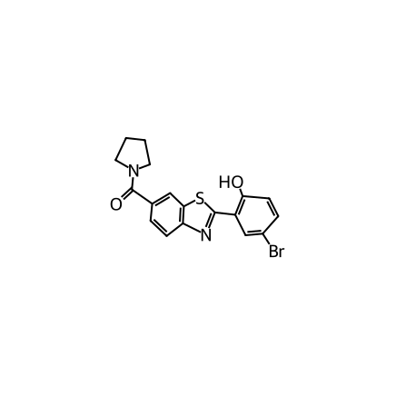 O=C(c1ccc2nc(-c3cc(Br)ccc3O)sc2c1)N1CCCC1